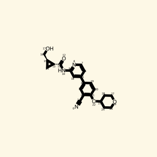 N#Cc1cc(-c2ccnc(NC(=O)[C@@H]3C[C@H]3CO)c2)ccc1OC1CCOCC1